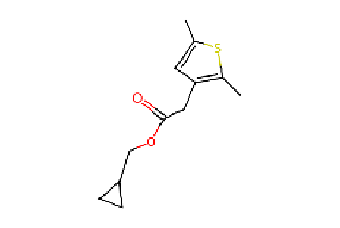 Cc1cc(CC(=O)OCC2CC2)c(C)s1